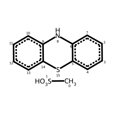 CS(=O)(=O)O.c1ccc2c(c1)Nc1ccccc1S2